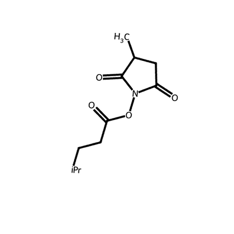 CC(C)CCC(=O)ON1C(=O)CC(C)C1=O